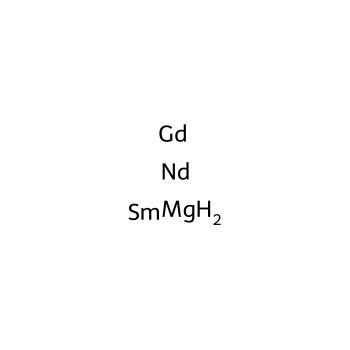 [Gd].[MgH2].[Nd].[Sm]